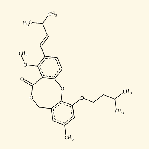 COc1c(C=CC(C)C)ccc2c1C(=O)OCc1cc(C)cc(OCCC(C)C)c1O2